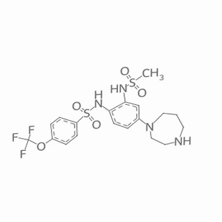 CS(=O)(=O)Nc1cc(N2CCCNCC2)ccc1NS(=O)(=O)c1ccc(OC(F)(F)F)cc1